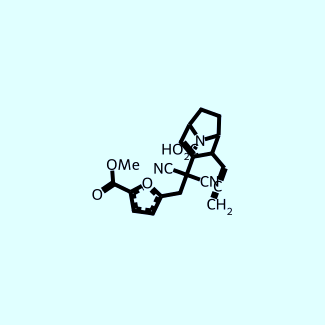 C=C=CC1C(C(C#N)(C#N)Cc2ccc(C(=O)OC)o2)=CC2CCC1N2C(=O)O